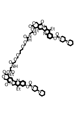 CCc1c2c(nc3ccc(OC(=O)N4CCC(N5CCCCC5)CC4)cc13)-c1cc3c(c(=O)n1C2)COC(=O)[C@@]3(CC)OC(=O)CNC(=O)COCOCCCOCOCC(=O)NCC(=O)O[C@]1(CC)C(=O)OCc2c1cc1n(c2=O)Cc2c-1nc1ccc(OC(=O)N3CCC(N4CCCCC4)CC3)cc1c2CC